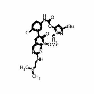 COn1c(=O)c(-c2cc(NC(=O)Oc3cc(C(C)(C)C)nn3C)ccc2Cl)cc2cnc(NCCN(C)C)nc21